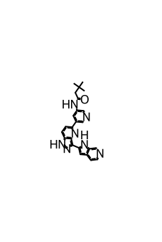 CC(C)(C)CC(=O)Nc1cncc(-c2ccc3[nH]nc(-c4cc5ccncc5[nH]4)c3n2)c1